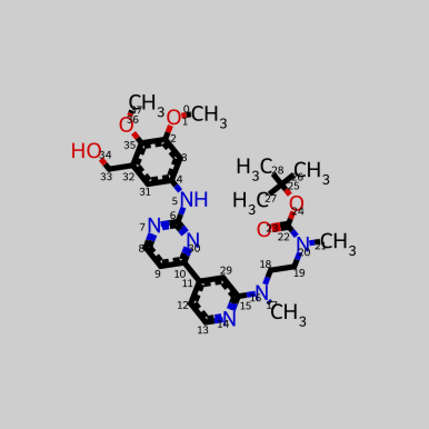 COc1cc(Nc2nccc(-c3ccnc(N(C)CCN(C)C(=O)OC(C)(C)C)c3)n2)cc(CO)c1OC